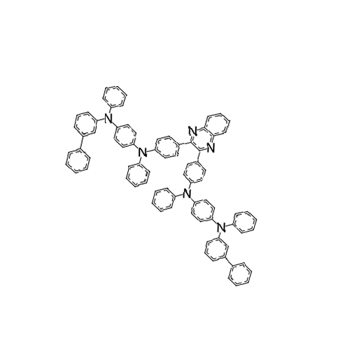 c1ccc(-c2cccc(N(c3ccccc3)c3ccc(N(c4ccccc4)c4ccc(-c5nc6ccccc6nc5-c5ccc(N(c6ccccc6)c6ccc(N(c7ccccc7)c7cccc(-c8ccccc8)c7)cc6)cc5)cc4)cc3)c2)cc1